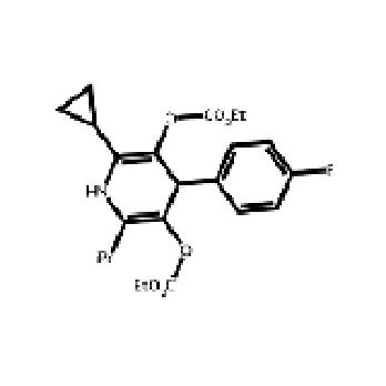 CCOC(=O)OC1=C(C(C)C)NC(C2CC2)=C(OC(=O)OCC)C1c1ccc(F)cc1